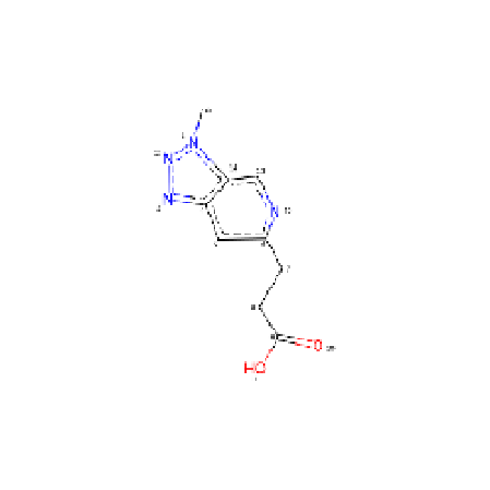 Cn1nnc2cc(CCC(=O)O)ncc21